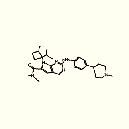 CC(C)C1(n2c(C(=O)N(C)C)cc3cnc(Nc4ccc(C5CCN(C)CC5)cc4)nc32)CC[C@H]1C